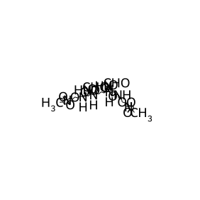 CC1CC(=O)N(CCOCCNC(=O)CC(NC(=O)CCCC(=O)NC(CC(=O)NCCOCCN2C(=O)CC(C)C2=O)C(=O)NC=O)C(=O)NC=O)C1=O